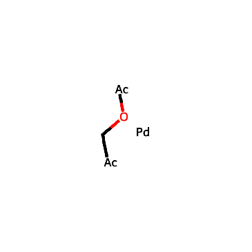 CC(=O)COC(C)=O.[Pd]